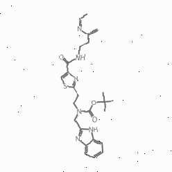 C=C(CCNC(=O)c1csc(CCN(Cc2nc3ccccc3[nH]2)C(=O)OC(C)(C)C)n1)/N=C\C